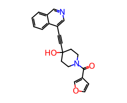 O=C(c1ccoc1)N1CCC(O)(C#Cc2cncc3ccccc23)CC1